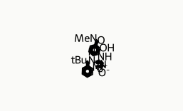 CNC(=O)c1cccc(Nc2n[s+]([O-])nc2N[C@@H](c2ccccc2)C(C)(C)C)c1O